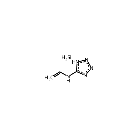 C=CNc1nnn[nH]1.[SiH4]